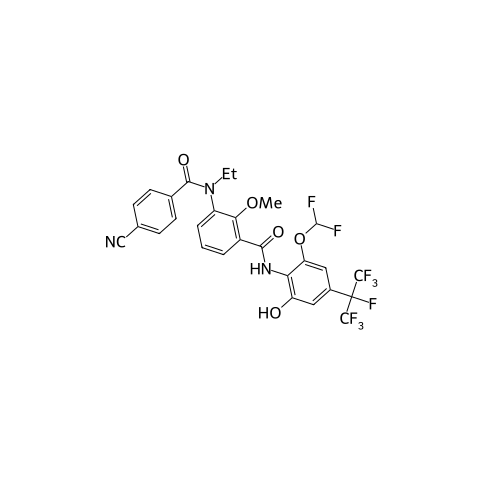 CCN(C(=O)c1ccc(C#N)cc1)c1cccc(C(=O)Nc2c(O)cc(C(F)(C(F)(F)F)C(F)(F)F)cc2OC(F)F)c1OC